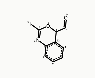 O=CC1OC(I)=Nc2ccccc21